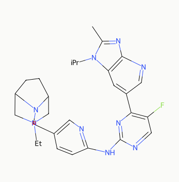 CCN1CC2CCC(C1)N2Cc1ccc(Nc2ncc(F)c(-c3cnc4nc(C)n(C(C)C)c4c3)n2)nc1